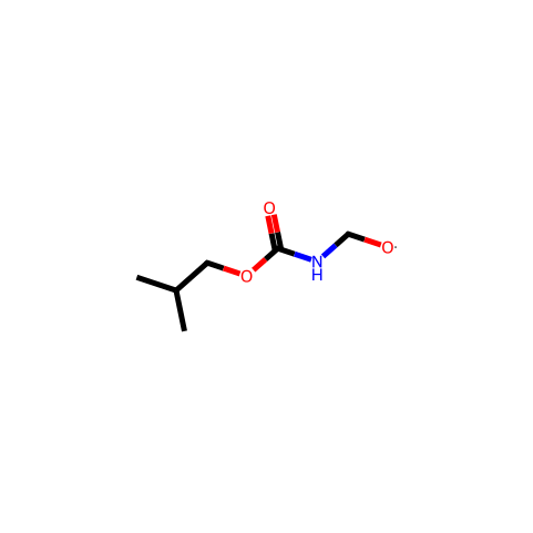 CC(C)COC(=O)NC[O]